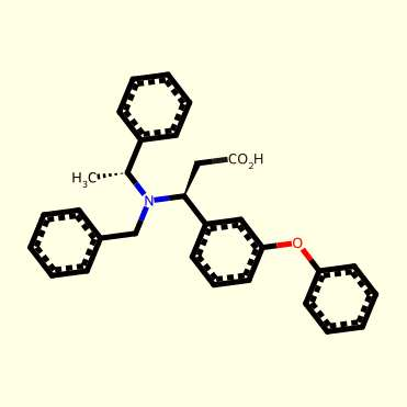 C[C@H](c1ccccc1)N(Cc1ccccc1)[C@@H](CC(=O)O)c1cccc(Oc2ccccc2)c1